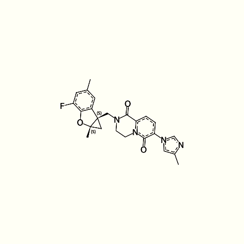 Cc1cc(F)c2c(c1)[C@]1(CN3CCn4c(ccc(-n5cnc(C)c5)c4=O)C3=O)C[C@]1(C)O2